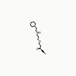 CC#CC(=O)CCOCCCNCCN1CCCCC1